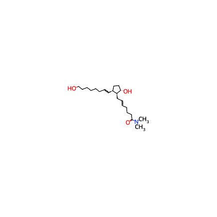 CN(C)C(=O)CCCC=CC[C@@H]1[C@@H](O)CC[C@@H]1C=CCCCCCCO